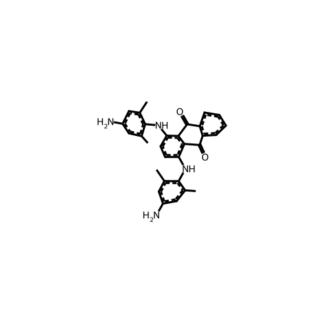 Cc1cc(N)cc(C)c1Nc1ccc(Nc2c(C)cc(N)cc2C)c2c1C(=O)c1ccccc1C2=O